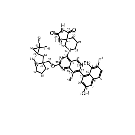 CCc1c(F)ccc2cc(O)cc(-c3ncc4c(N5CCC[C@@]6(C5)NC(=O)NC6=O)nc(OC[C@@]56CCCN5C[C@@]5(CC5(F)F)C6)nc4c3F)c12